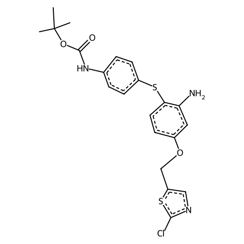 CC(C)(C)OC(=O)Nc1ccc(Sc2ccc(OCc3cnc(Cl)s3)cc2N)cc1